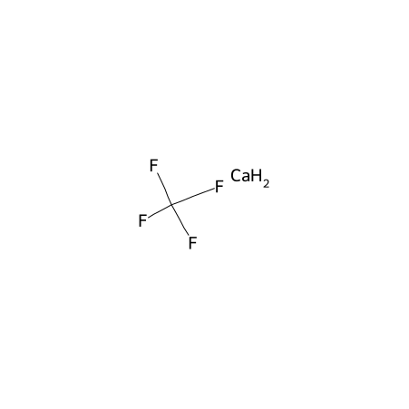 FC(F)(F)F.[CaH2]